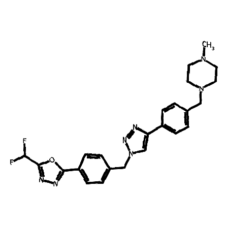 CN1CCN(Cc2ccc(-c3cn(Cc4ccc(-c5nnc(C(F)F)o5)cc4)nn3)cc2)CC1